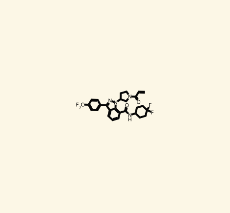 C=CC(=O)N1CCC(n2nc(-c3ccc(C(F)(F)F)cc3)c3cccc(C(=O)NC4CCC(F)(F)CC4)c32)C1